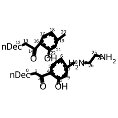 CCCCCCCCCCCC(=O)c1ccc(C)cc1O.CCCCCCCCCCCC(=O)c1ccc(C)cc1O.NCCN